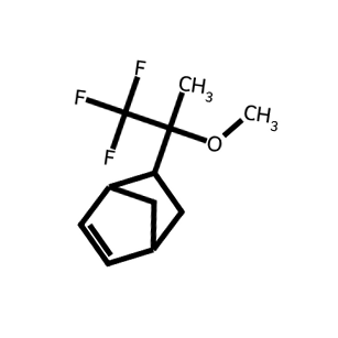 COC(C)(C1CC2C=CC1C2)C(F)(F)F